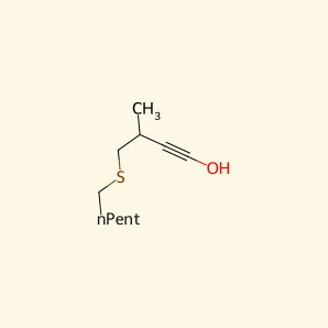 CCCCCCSCC(C)C#CO